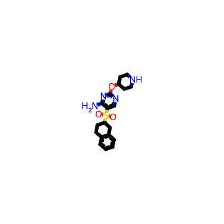 Nc1nc(OC2CCNCC2)ncc1S(=O)(=O)C1CCc2ccccc2C1